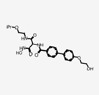 CC(C)OCCNC(=O)C(NC(=O)c1ccc(-c2ccc(OCCO)cc2)cc1)C(=O)NO